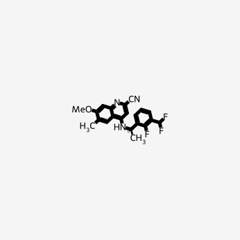 COc1cc2nc(C#N)cc(N[C@H](C)c3cccc(C(F)F)c3F)c2cc1C